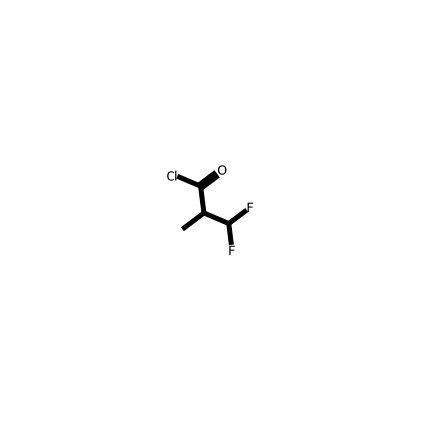 CC(C(=O)Cl)C(F)F